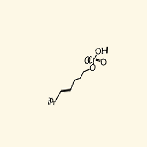 CC(C)CCCCC[O][Cr](=[O])(=[O])[OH]